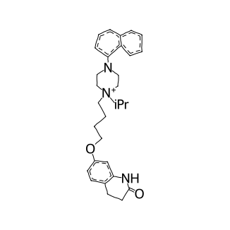 CC(C)[N+]1(CCCCOc2ccc3c(c2)NC(=O)CC3)CCN(c2cccc3ccccc23)CC1